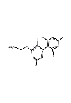 C=C(C)/C=C(\C(F)=C(/F)CCC(=O)OCC)c1c(C)cc(C)cc1F